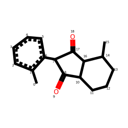 Cc1ccccc1C1C(=O)C2CCCC(C)C2C1=O